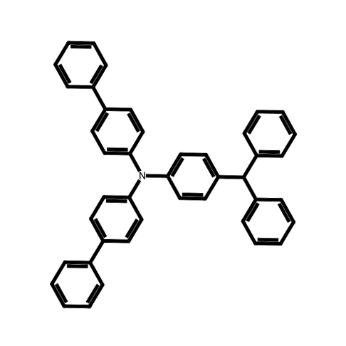 c1ccc(-c2ccc(N(c3ccc(-c4ccccc4)cc3)c3ccc(C(c4ccccc4)c4ccccc4)cc3)cc2)cc1